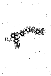 Cc1cccc(C(=O)Nc2cccc(OC3CCN(C(=O)Oc4ccc([N+](=O)[O-])cc4)CC3)c2)c1-c1ccc(OC(F)(F)F)cc1